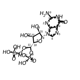 Nc1nc2c(ncn2[C@@H]2O[C@H](C(OOP(=O)(O)O)OP(=O)(O)O)[C@@H](O)[C@H]2O)c(=O)[nH]1